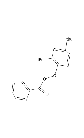 CC(C)(C)c1ccc(OOC(=O)c2ccccc2)c(C(C)(C)C)c1